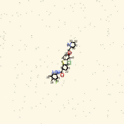 C/C(=C/C(CC(C)C)Sc1cc(C(=O)Nc2cc(C)c(C)c(F)c2)ccc1Cl)COCc1ccccn1